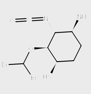 CCC(CC)O[C@H]1[C@H](N=C=O)[C@@H](N)CC[C@H]1S